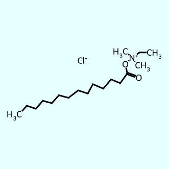 CCCCCCCCCCCCCC(=O)O[N+](C)(C)CC.[Cl-]